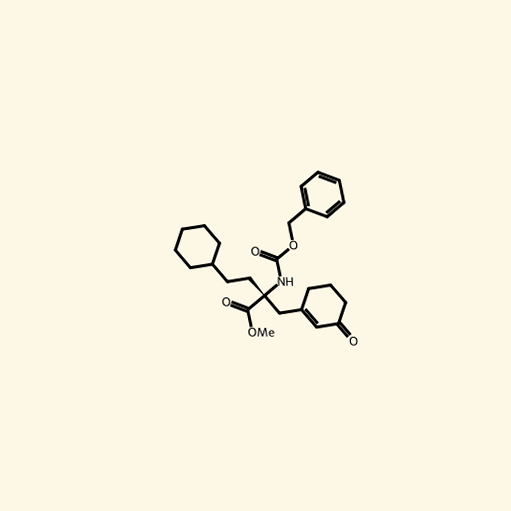 COC(=O)[C@@](CCC1CCCCC1)(CC1=CC(=O)CCC1)NC(=O)OCc1ccccc1